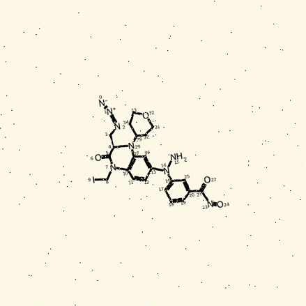 [N-]=[N+]=NC[C@@H]1C(=O)N(CI)c2ccc(N(N)c3cccc(C(=O)N=O)c3)cc2N1C1CCOCC1